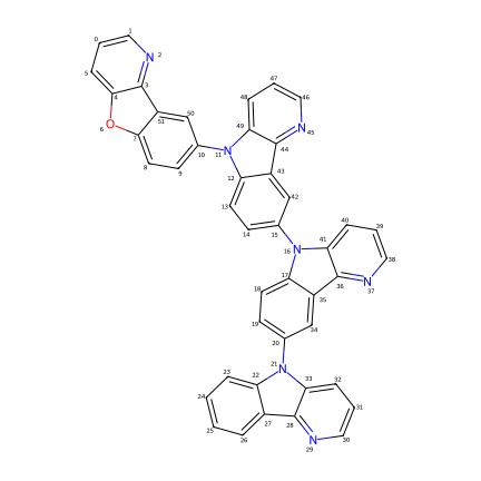 c1cnc2c(c1)oc1ccc(-n3c4ccc(-n5c6ccc(-n7c8ccccc8c8ncccc87)cc6c6ncccc65)cc4c4ncccc43)cc12